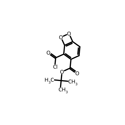 CC(C)(C)OC(=O)c1ccc2ooc2c1C(=O)Cl